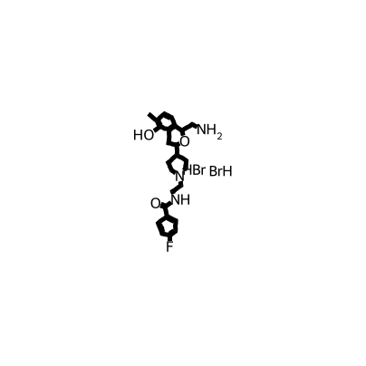 Br.Br.Cc1ccc2c(c1O)CC(C1CCN(CCNC(=O)c3ccc(F)cc3)CC1)OC2CN